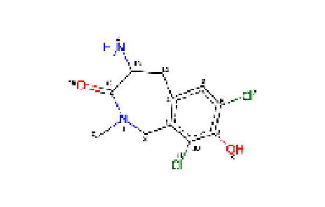 CN1Cc2c(cc(Cl)c(O)c2Cl)CC(N)C1=O